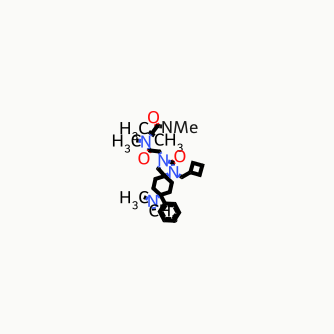 CNC(=O)C(C)(C)N(C)C(=O)CN1CC2(CCC(c3ccccc3)(N(C)C)CC2)N(CC2CCC2)C1=O